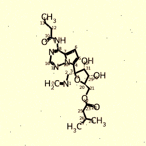 C=NC[C@@]1(c2ccc3c(NC(=O)CCC)ncnn23)O[C@H](COC(=O)CC(C)C)[C@@H](O)[C@H]1O